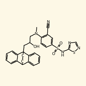 CN(CC(O)CC12CCC(c3ccccc31)c1ccccc12)c1ccc(S(=O)(=O)Nc2ncns2)cc1C#N